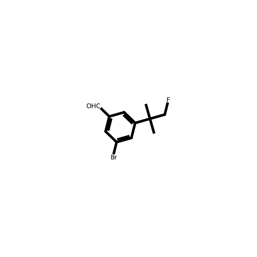 CC(C)(CF)c1cc(Br)cc(C=O)c1